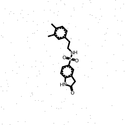 Cc1ccc(CCNS(=O)(=O)c2ccc3c(c2)CC(=O)N3)cc1C